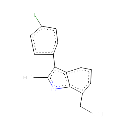 Cc1[nH]c2c(CC(=O)O)cccc2c1-c1ccc(Cl)cc1